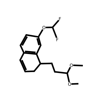 COC(CCC1CC=Cc2ccc(OC(F)F)cc21)OC